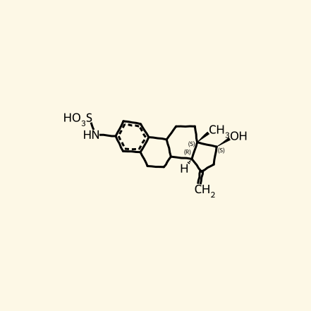 C=C1C[C@H](O)[C@@]2(C)CCC3c4ccc(NS(=O)(=O)O)cc4CCC3[C@H]12